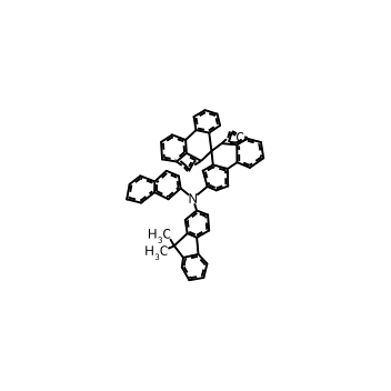 CC1(C)c2ccccc2-c2ccc(N(c3ccc4c(c3)C3(c5ccccc5-c5cccc6cccc3c56)c3cccc5cccc-4c35)c3ccc4ccccc4c3)cc21